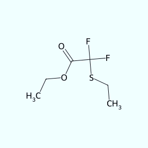 CCOC(=O)C(F)(F)SCC